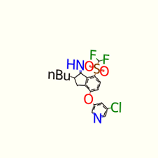 CCCCC1Cc2c(Oc3cncc(Cl)c3)ccc(S(=O)(=O)C(F)F)c2C1=N